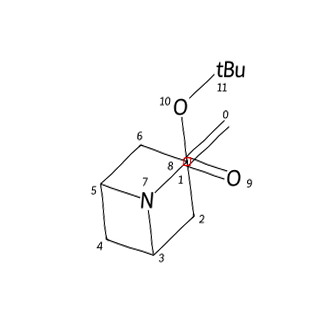 C=C1CC2CC(C1)N2C(=O)OC(C)(C)C